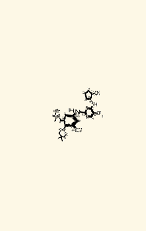 CC1(C)COB(c2c(Cl)cc(Nc3ncc(C(F)(F)F)c(N[C@@H]4CCC[C@H]4C#N)n3)cc2CO[Si](C)(C)C(C)(C)C)OC1